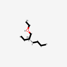 CCCC[C@H](CC)COCC